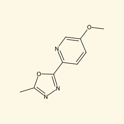 COc1ccc(-c2nnc(C)o2)nc1